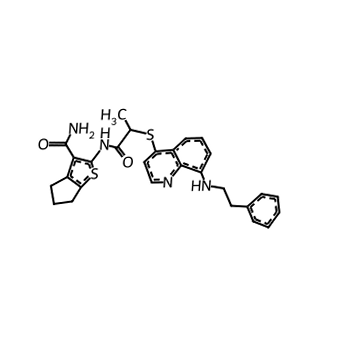 CC(Sc1ccnc2c(NCCc3ccccc3)cccc12)C(=O)Nc1sc2c(c1C(N)=O)CCC2